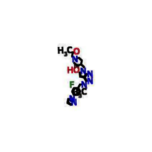 CCN(Cc1ccc(-n2cccn2)cc1F)c1ncnc2c1ccn2CC1CCN(CC(C)=O)C[C@@H]1O